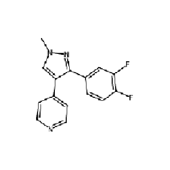 Cn1cc(-c2ccncc2)c(-c2ccc(F)c(F)c2)n1